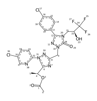 CC(=O)O[C@@H](C)c1nc(Cn2nc(-c3ccc(Cl)cc3)n(C[C@H](O)C(F)(F)F)c2=O)nn1-c1ccc(Cl)cn1